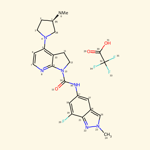 CN[C@@H]1CCN(c2ccnc3c2CCN3C(=O)Nc2cc(F)c3nn(C)cc3c2)C1.O=C(O)C(F)(F)F